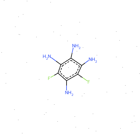 Nc1c(N)c(F)c(N)c(F)c1N